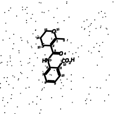 CC1=C(C(=O)Nc2ccccc2C(=O)O)SCCO1